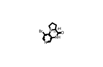 O=C1Nc2cncc(Br)c2N2CCC[C@@H]12